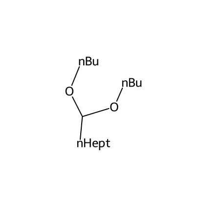 [CH2]CCCCCCC(OCCCC)OCCCC